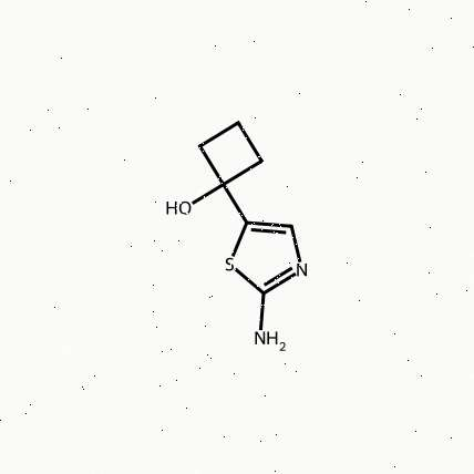 Nc1ncc(C2(O)CCC2)s1